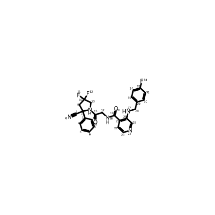 N#CC1(c2ccccc2)CC(F)(F)CN1C(=O)CNC(=O)c1ccncc1NCc1ccc(F)cc1